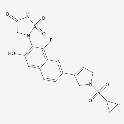 O=C1CN(c2c(O)cc3ccc(C4=CCN(S(=O)(=O)C5CC5)C4)nc3c2F)S(=O)(=O)N1